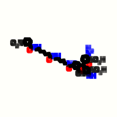 COC(=O)c1cc(C(=O)NCCCCCNC(=O)CCCCCCNC(=O)c2cccc([N+](=O)[O-])c2)ccc1-c1c2ccc(=N)c(S(=O)(=O)O)c-2oc2c(S(=O)(=O)O)c(N)ccc12